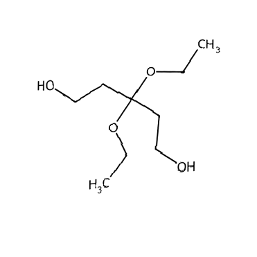 CCOC(CCO)(CCO)OCC